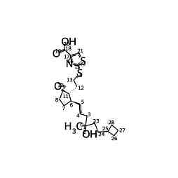 CC(O)(C/C=C/[C@H]1CCC(=O)[C@@H]1CCSc1nc(C(=O)O)cs1)CCC1CCC1